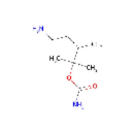 CC(CCN)C(C)(C)OC(N)=O